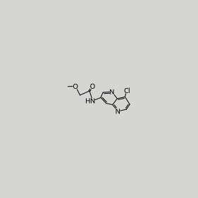 COCC(=O)Nc1cnc2c(Cl)ccnc2c1